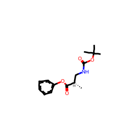 C[C@@H](CNC(=O)OC(C)(C)C)C(=O)Oc1ccccc1